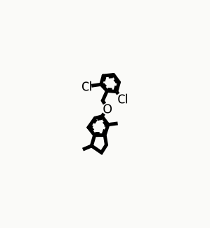 Cc1c(OCc2c(Cl)cccc2Cl)ccc2c1CCC2C